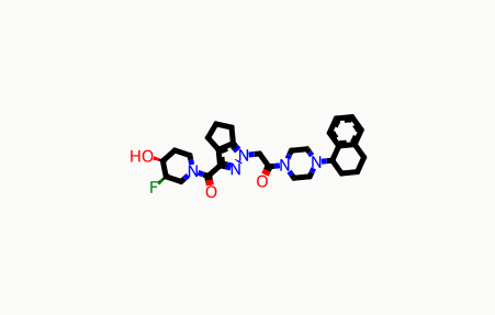 O=C(Cn1nc(C(=O)N2CC[C@H](O)[C@H](F)C2)c2c1CCC2)N1CCN(C2CCCc3ccccc32)CC1